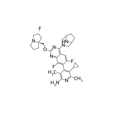 Cc1nc(N)c(C)c(-c2c(F)cc3c(N4CC5CCC(C4)N5)nc(OC[C@@]45CCCN4C[C@H](F)C5)nc3c2F)c1C1CC1